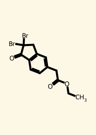 CCOC(=O)Cc1ccc2c(c1)CC(Br)(Br)C2=O